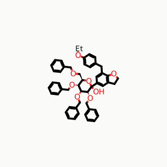 CCOc1ccc(Cc2cc(C3(O)O[C@H](COCc4ccccc4)[C@@H](OCc4ccccc4)[C@H](OCc4ccccc4)[C@H]3OCc3ccccc3)cc3c2OCC3)cc1